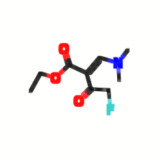 CCOC(=O)C(=CN(C)C)C(=O)CF